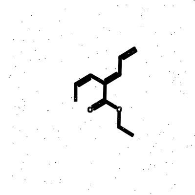 C=C/C=C(\C=C/C)C(=O)OCC